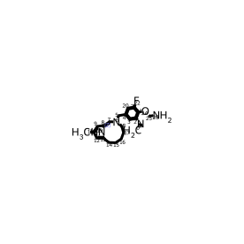 C=Nc1cc(CN2/C=C3/C=C(C)C=C(CCCCC2)N3)cc(F)c1OCN